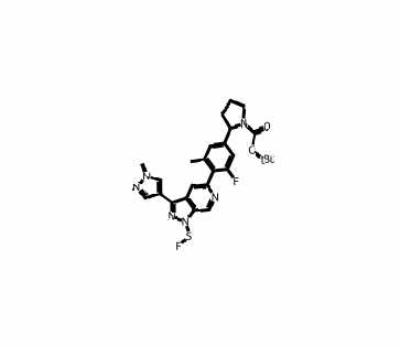 Cc1cc(C2CCCN2C(=O)OC(C)(C)C)cc(F)c1-c1cc2c(-c3cnn(C)c3)nn(SF)c2cn1